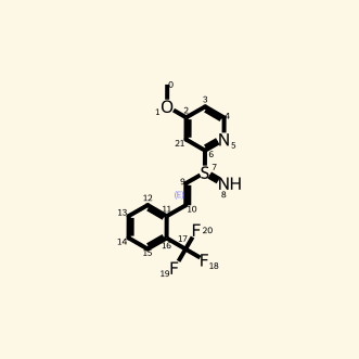 COc1ccnc(S(=N)/C=C/c2ccccc2C(F)(F)F)c1